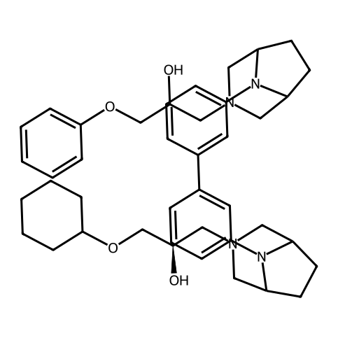 OC(COc1ccccc1)CN1CC2CCC(C1)N2c1cccc(-c2cccc(N3C4CCC3CN(C[C@@H](O)COC3CCCCC3)C4)c2)c1